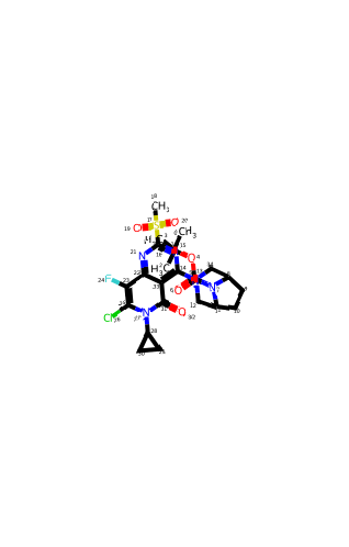 CC(C)(C)OC(=O)N1C2CCC1CN(c1nc(S(C)(=O)=O)nc3c(F)c(Cl)n(C4CC4)c(=O)c13)C2